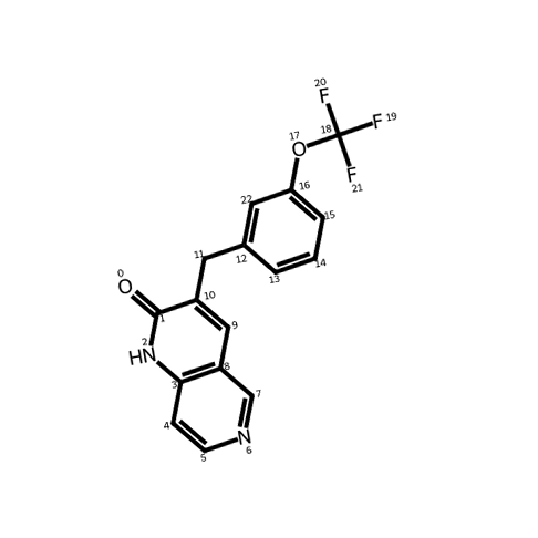 O=c1[nH]c2ccncc2cc1Cc1cccc(OC(F)(F)F)c1